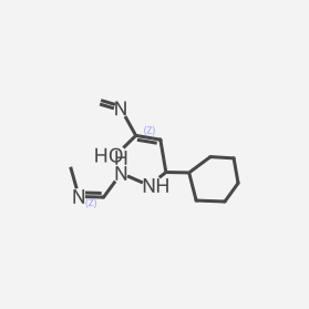 C=N/C(O)=C/C(NN/C=N\C)C1CCCCC1